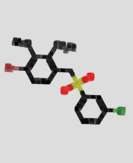 CCOC(=O)c1c(CS(=O)(=O)c2cccc(Cl)c2)ccc(Br)c1OC